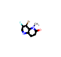 Cn1c(=O)ccc2ncc(F)c(Br)c21